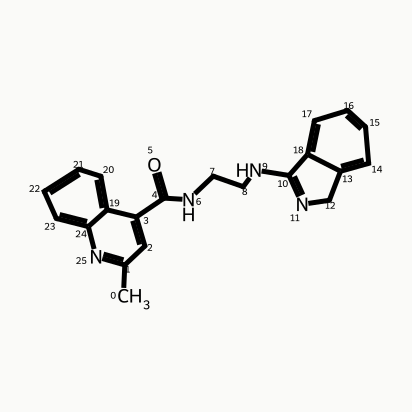 Cc1cc(C(=O)NCCNC2=NCc3ccccc32)c2ccccc2n1